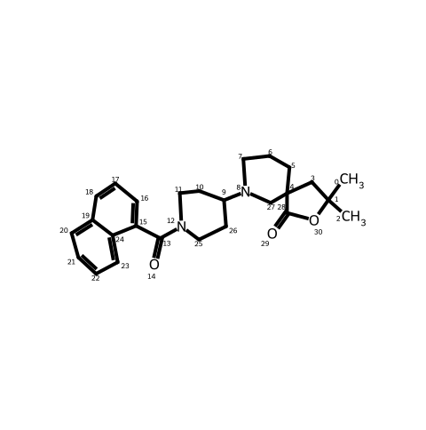 CC1(C)CC2(CCCN(C3CCN(C(=O)c4cccc5ccccc45)CC3)C2)C(=O)O1